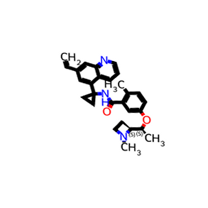 C=Cc1cc(C2(NC(=O)c3cc(O[C@@H](C)[C@@H]4CCN4C)ccc3C)CC2)c2cccnc2c1